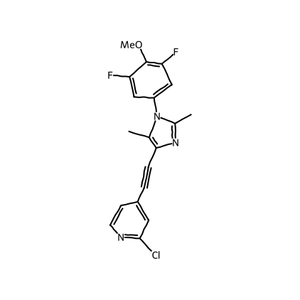 COc1c(F)cc(-n2c(C)nc(C#Cc3ccnc(Cl)c3)c2C)cc1F